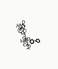 CC(C)OC(=O)CNP(OCC1CC(C)C(n2ccc(=O)[nH]c2=O)O1)Oc1cccc(-c2ccccc2)c1